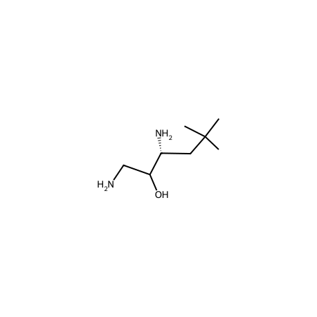 CC(C)(C)C[C@@H](N)C(O)CN